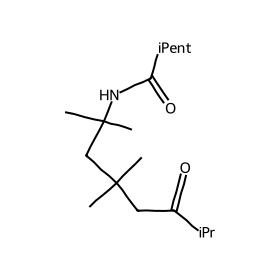 CCCC(C)C(=O)NC(C)(C)CC(C)(C)CC(=O)C(C)C